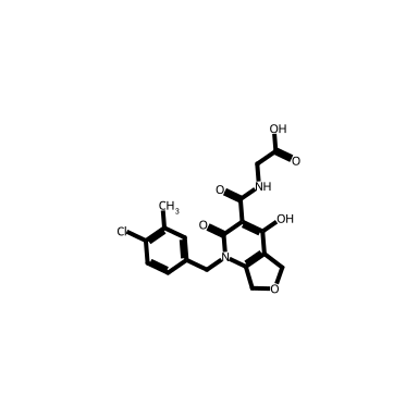 Cc1cc(Cn2c3c(c(O)c(C(=O)NCC(=O)O)c2=O)COC3)ccc1Cl